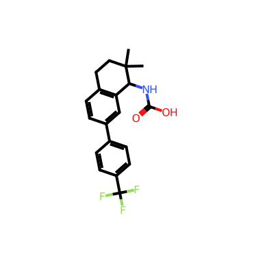 CC1(C)CCc2ccc(-c3ccc(C(F)(F)F)cc3)cc2C1NC(=O)O